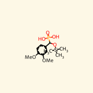 COc1ccc(C(O[Si](C)(C)C)P(=O)(O)O)cc1OC